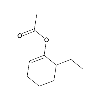 CCC1CCCC=C1OC(C)=O